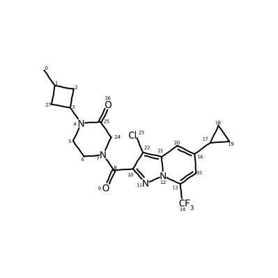 CC1CC(N2CCN(C(=O)c3nn4c(C(F)(F)F)cc(C5CC5)cc4c3Cl)CC2=O)C1